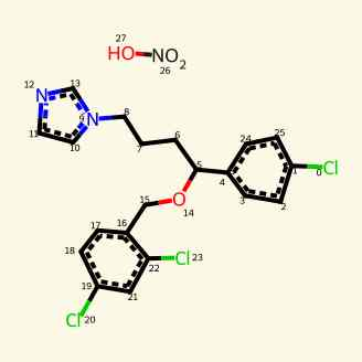 Clc1ccc(C(CCCn2ccnc2)OCc2ccc(Cl)cc2Cl)cc1.O=[N+]([O-])O